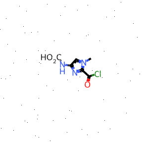 Cn1cc(NC(=O)O)nc1C(=O)Cl